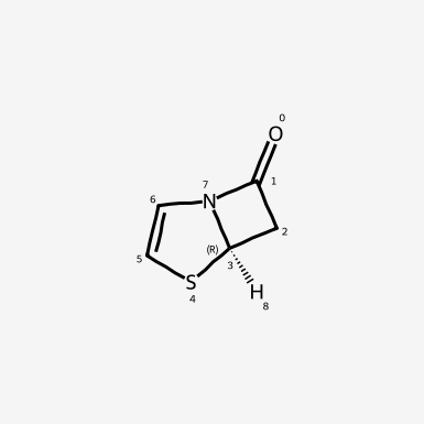 O=C1C[C@H]2SC=CN12